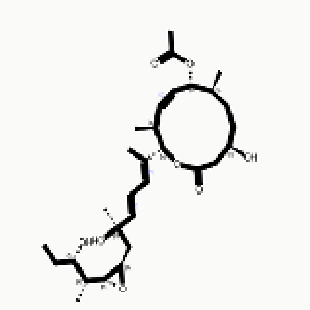 CC[C@H](O)[C@@H](C)[C@H]1O[C@@H]1C[C@@](C)(O)/C=C/C=C(\C)[C@H]1OC(=O)C[C@H](O)CC[C@H](C)[C@@H](OC(C)=O)/C=C\[C@@H]1C